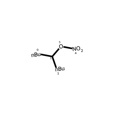 CCCCC(CCCC)O[N+](=O)[O-]